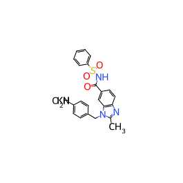 Cc1nc2ccc(C(=O)NS(=O)(=O)c3ccccc3)cc2n1Cc1ccc([N+](=O)[O-])cc1.[KH]